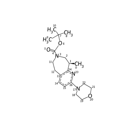 C[C@@H]1CN(C(=O)OC(C)(C)C)CCc2ccc(N3CCOCC3)nc21